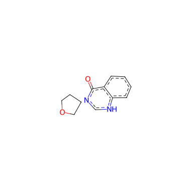 C1CCOC1.O=c1nc[nH]c2ccccc12